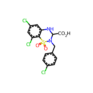 O=C(O)C1Nc2cc(Cl)cc(Cl)c2S(=O)(=O)N1Cc1ccc(Cl)cc1